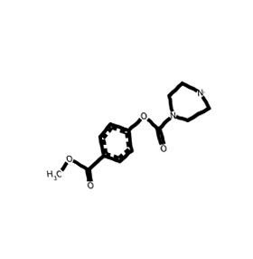 COC(=O)c1ccc(OC(=O)N2CC[N]CC2)cc1